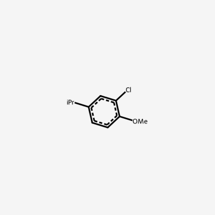 COc1ccc(C(C)C)cc1Cl